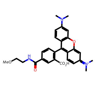 COCCNC(=O)c1ccc(-c2c3ccc(=[N+](C)C)cc-3oc3cc(N(C)C)ccc23)c(C(=O)O)c1